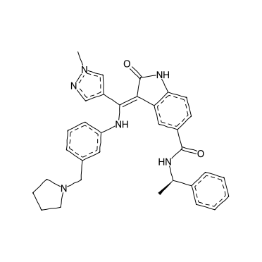 C[C@@H](NC(=O)c1ccc2c(c1)C(=C(Nc1cccc(CN3CCCC3)c1)c1cnn(C)c1)C(=O)N2)c1ccccc1